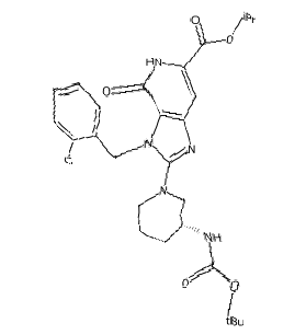 CC(C)OC(=O)c1cc2nc(N3CCC[C@@H](NC(=O)OC(C)(C)C)C3)n(Cc3ccccc3Cl)c2c(=O)[nH]1